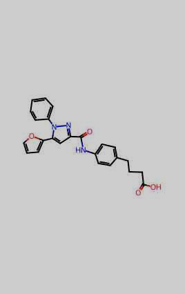 O=C(O)CCCc1ccc(NC(=O)c2cc(-c3ccco3)n(-c3ccccc3)n2)cc1